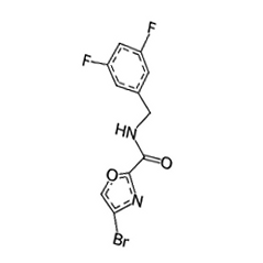 O=C(NCc1cc(F)cc(F)c1)c1nc(Br)co1